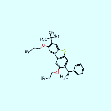 C=C(c1ccccc1)c1cc2sc3cc(C(C)(C)CC)c(OCCC(C)C)cc3c2cc1OCCC(C)C